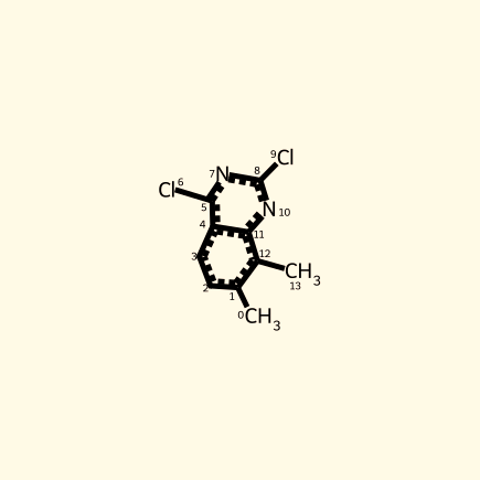 Cc1ccc2c(Cl)nc(Cl)nc2c1C